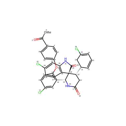 COC(=O)c1ccc(Oc2ccc(Cl)cc2[C@H]2NC(=O)C[C@@H](C3C=CC=C(Cl)C3)[C@]23C(=O)Nc2cc(Cl)ccc23)cc1